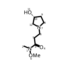 CON(C)C(=O)CCN1CC[C@@H](O)C1